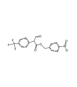 O=[C]C(C(=O)OCc1ccc([N+](=O)[O-])cc1)c1ccc(C(F)(F)F)cc1